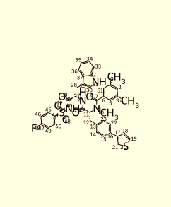 Cc1cc(C)cc(C(=O)N(C)[C@H](Cc2ccc(-c3ccsc3)cc2)C(=O)N[C@@H](Cc2c[nH]c3ccccc23)C(=O)NS(=O)(=O)c2ccc(F)cc2)c1